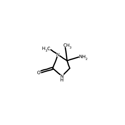 CN1C(=O)NCC1(C)N